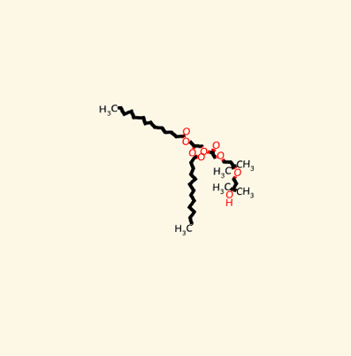 CCCCCCCCCCCCCC(=O)OCC(COC(=O)COCCC(C)(C)OCCC(C)(C)O)OC(=O)CCCCCCCCCCCCC